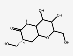 O=C1NC2C(C[C@@H]1CO)OC(CO)C(O)C2O